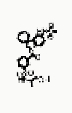 CC(CO)NS(=O)(=O)c1cccc(C(=O)N2CC3(CCCCC3)c3cc(NS(C)(=O)=O)ccc32)c1